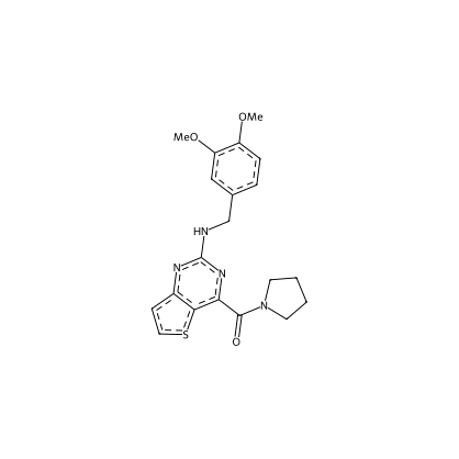 COc1ccc(CNc2nc(C(=O)N3CCCC3)c3sccc3n2)cc1OC